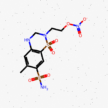 Cc1cc2c(cc1S(N)(=O)=O)S(=O)(=O)N(CCO[N+](=O)[O-])CN2